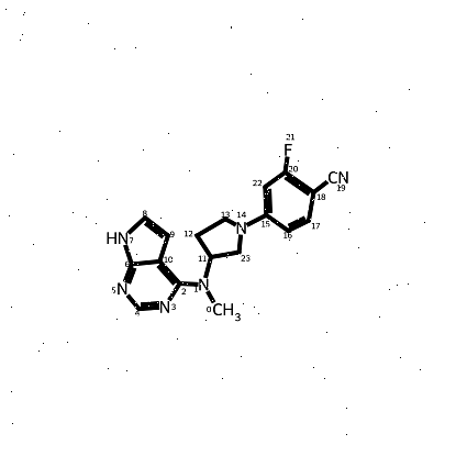 CN(c1ncnc2[nH]ccc12)C1CCN(c2ccc(C#N)c(F)c2)C1